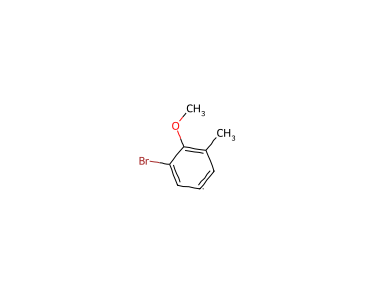 COc1c(C)c[c]cc1Br